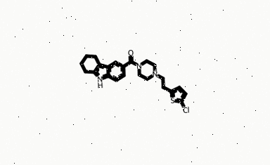 O=C(c1ccc2[nH]c3c(c2c1)CCCC3)N1CCN(CCc2ccc(Cl)s2)CC1